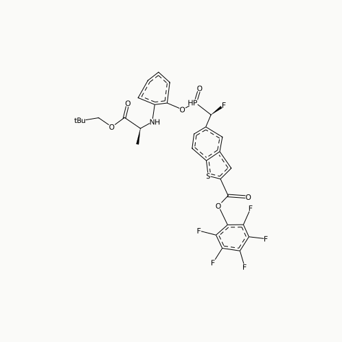 C[C@H](Nc1ccccc1O[PH](=O)[C@@H](F)c1ccc2sc(C(=O)Oc3c(F)c(F)c(F)c(F)c3F)cc2c1)C(=O)OCC(C)(C)C